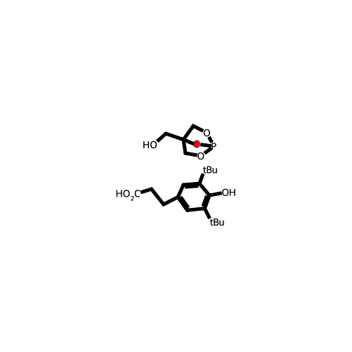 CC(C)(C)c1cc(CCC(=O)O)cc(C(C)(C)C)c1O.OCC12COP(OC1)OC2